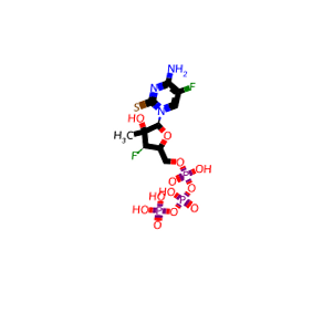 CC1(O)[C@@H](F)C(COP(=O)(O)OP(=O)(O)OP(=O)(O)O)O[C@H]1n1cc(F)c(N)nc1=S